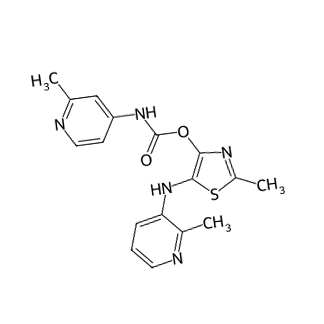 Cc1cc(NC(=O)Oc2nc(C)sc2Nc2cccnc2C)ccn1